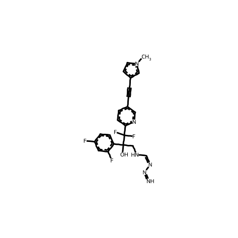 Cn1ccc(C#Cc2ccc(C(F)(F)C(O)(CN/C=N\N=N)c3ccc(F)cc3F)nc2)c1